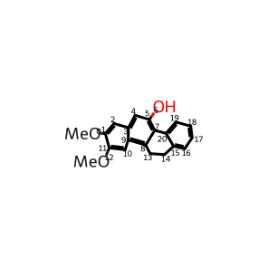 COc1cc2cc(O)c3c(c2cc1OC)CCc1ccccc1-3